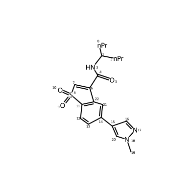 CCCC(CCC)NC(=O)C1=CS(=O)(=O)c2ccc(-c3cnn(C)c3)cc21